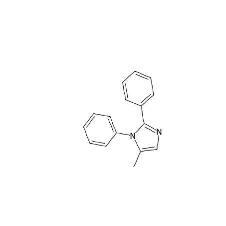 Cc1cnc(-c2ccccc2)n1-c1ccccc1